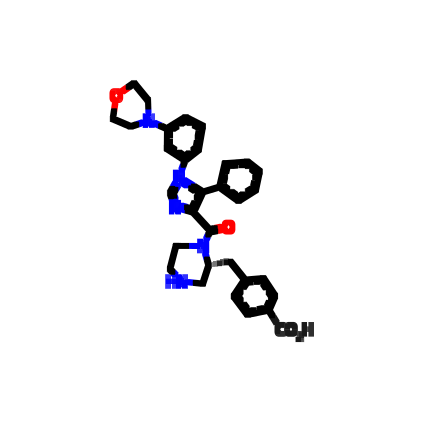 O=C(O)c1ccc(C[C@@H]2CNCCN2C(=O)c2ncn(-c3cccc(N4CCOCC4)c3)c2-c2ccccc2)cc1